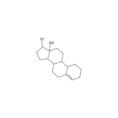 CCC1CCC2C3CCC4=CCCCC4C3CCC12O